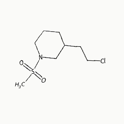 CS(=O)(=O)N1CCCC(CCCl)C1